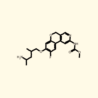 COC(=O)Nc1cc2c(cn1)COc1cc(OCC(C)CC(C)N)c(F)cc1-2